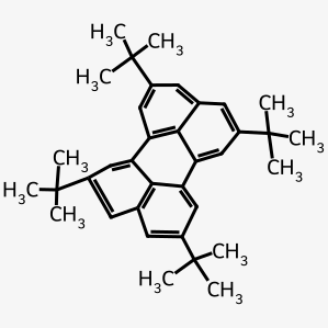 CC(C)(C)c1cc2cc(C(C)(C)C)cc3c4cc(C(C)(C)C)cc5cc(C(C)(C)C)cc(c(c1)c23)c54